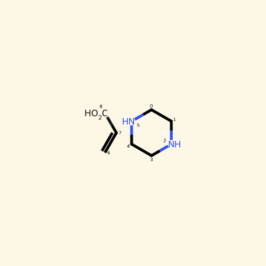 C1CNCCN1.C=CC(=O)O